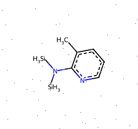 Cc1cccnc1N([SiH3])[SiH3]